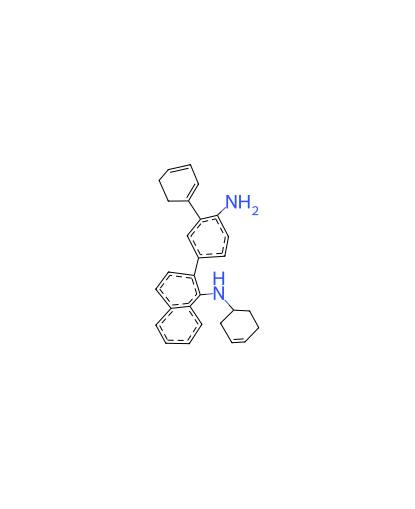 Nc1ccc(-c2ccc3ccccc3c2NC2CC=CCC2)cc1C1=CC=CCC1